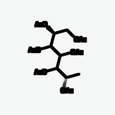 CC(=O)OC[C@H](OC(C)=O)C(OC(C)=O)C(OC(C)=O)C(OC(C)=O)[C@H](C)OC(C)=O